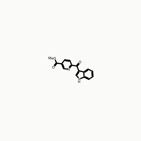 COC(=O)c1ccc(C(=O)c2c[nH]c3ccccc23)nc1